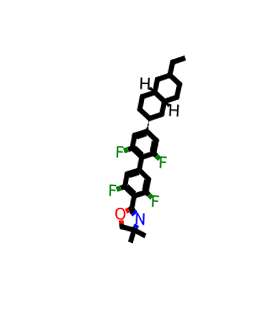 CCC1CC[C@@H]2C[C@H](c3cc(F)c(-c4cc(F)c(C5=NC(C)(C)CO5)c(F)c4)c(F)c3)CC[C@@H]2C1